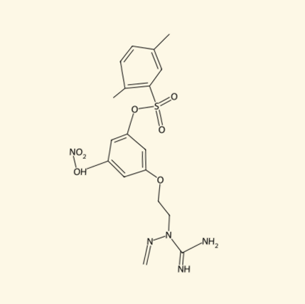 C=NN(CCOc1cc(C)cc(OS(=O)(=O)c2cc(C)ccc2C)c1)C(=N)N.O=[N+]([O-])O